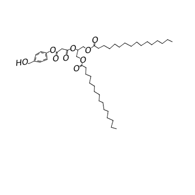 CCCCCCCCCCCCCCCC(=O)OCC(COC(=O)CCCCCCCCCCCCCCC)OC(=O)CC(=O)Oc1ccc(CO)cc1